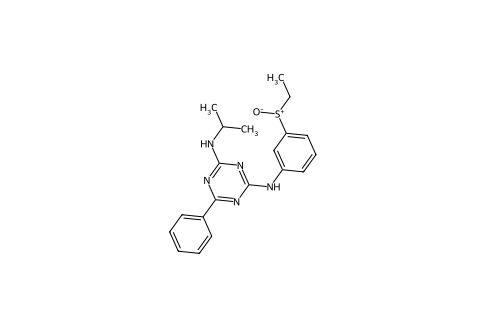 CC[S+]([O-])c1cccc(Nc2nc(NC(C)C)nc(-c3ccccc3)n2)c1